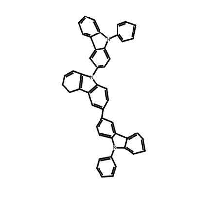 C1=Cc2c(c3cc(-c4ccc5c(c4)c4ccccc4n5-c4ccccc4)ccc3n2-c2ccc3c(c2)c2ccccc2n3-c2ccccc2)CC1